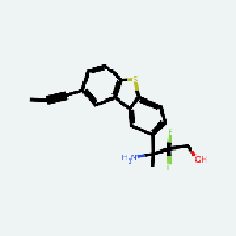 CC#Cc1ccc2sc3ccc(C(C)(N)C(F)(F)CO)cc3c2c1